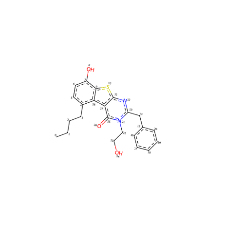 CCCCc1ccc(O)c2sc3nc(Cc4ccccc4)n(CCO)c(=O)c3c12